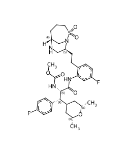 COC(=O)N[C@H](C(=O)Nc1cc(F)ccc1CC[C@H]1CN[C@@H]2CCCS(=O)(=O)N1C2)[C@@H](c1ccc(F)cc1)C1C[C@@H](C)O[C@@H](C)C1